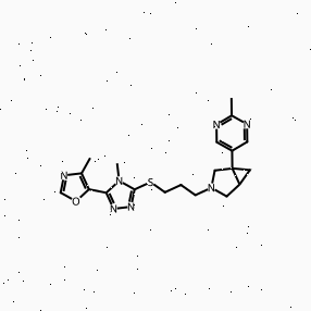 Cc1ncc(C23CC2CN(CCCSc2nnc(-c4ocnc4C)n2C)C3)cn1